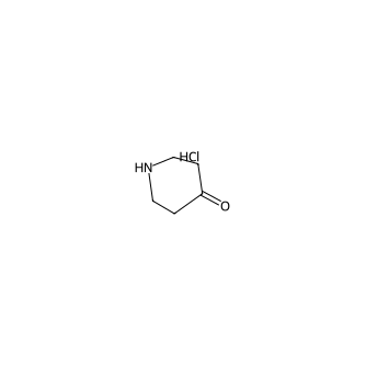 Cl.O=C1CCNCC1